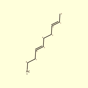 CC=CCCC=CCCC(C)=O